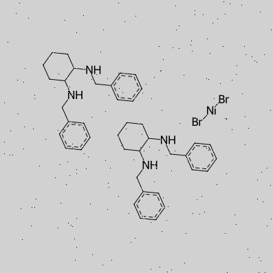 [Br][Ni][Br].c1ccc(CNC2CCCCC2NCc2ccccc2)cc1.c1ccc(CNC2CCCCC2NCc2ccccc2)cc1